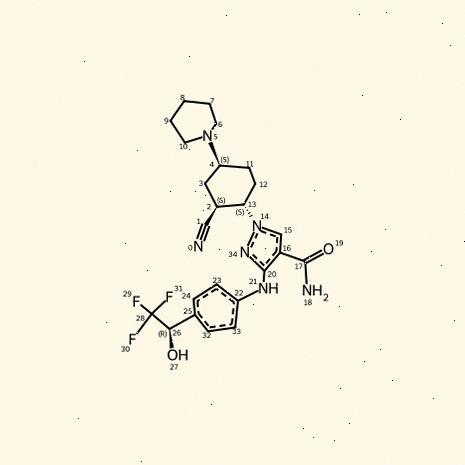 N#C[C@H]1C[C@@H](N2CCCCC2)CC[C@@H]1n1cc(C(N)=O)c(Nc2ccc([C@@H](O)C(F)(F)F)cc2)n1